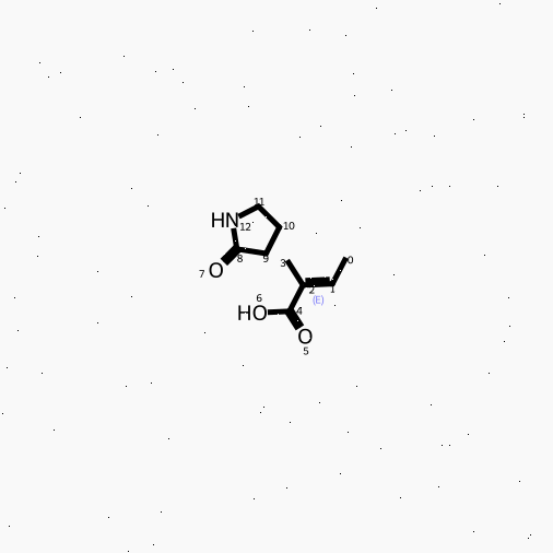 C/C=C(\C)C(=O)O.O=C1CCCN1